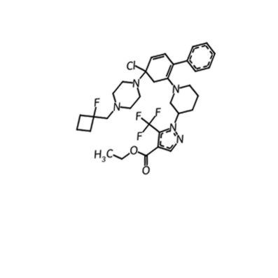 CCOC(=O)c1cnn(C2CCCN(C3=C(c4ccccc4)C=CC(Cl)(N4CCN(CC5(F)CCC5)CC4)C3)C2)c1C(F)(F)F